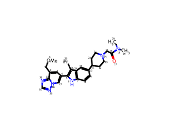 COCc1cc(-c2[nH]c3ccc(C4CCN(CC(=O)N(C)C)CC4)cc3c2C(C)C)cn2ncnc12